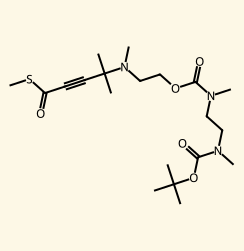 CSC(=O)C#CC(C)(C)N(C)CCOC(=O)N(C)CCN(C)C(=O)OC(C)(C)C